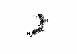 N=C(CCSCCc1nnc(NC(=O)Cc2ccc(S(N)(=O)=O)cc2)s1)SC(=N)NC(=O)Cc1ccc(S(N)(=O)=O)cc1